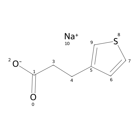 O=C([O-])CCc1ccsc1.[Na+]